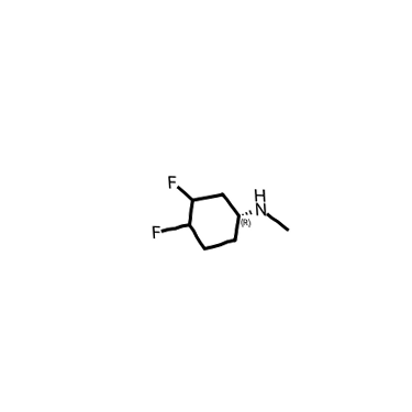 CN[C@@H]1CCC(F)C(F)C1